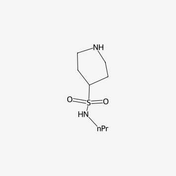 CCCNS(=O)(=O)C1CCNCC1